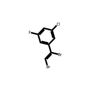 Fc1cc(Cl)cc(C(Br)=CBr)c1